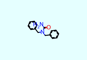 NC(=O)N(Cc1ccccc1)Cc1ccccc1